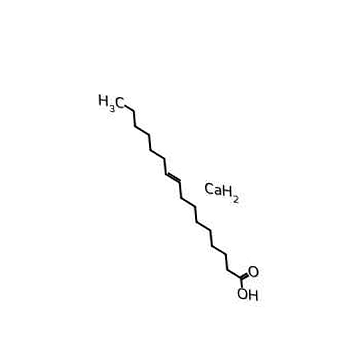 CCCCCCC=CCCCCCCCC(=O)O.[CaH2]